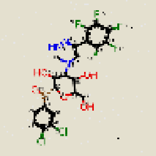 CN(/C=C(\N=N)c1c(F)c(F)c(F)c(F)c1F)C1C(O)[C@@H]([S+]([O-])c2ccc(Cl)c(Cl)c2)OC(CO)[C@@H]1O